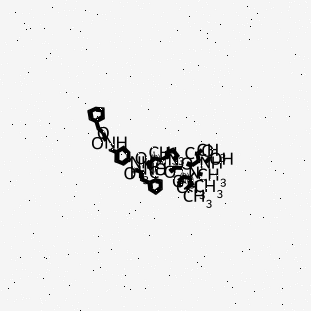 CC[C@H](C)[C@@H]([C@@H](CC(=O)N1CCCC1[C@H](OC)[C@@H](C)C(=O)NC(Cc1ccccc1)C(=O)Nc1ccc(CNC(=O)OCc2ccccc2)cc1)OC)N(C)C(=O)C(NC(=O)O)C(C)C